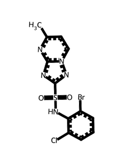 Cc1ccn2nc(S(=O)(=O)Nc3c(Cl)cccc3Br)nc2n1